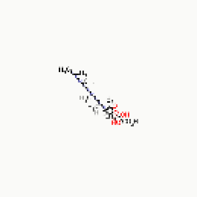 C/C=C/C(C)=C/C=C/C(C)=C/C=C/C=C(C)/C=C/C=C(C)/C=C/C1=C(C)C(=O)C(OC(=O)C(O)C(O)C(=O)O)CC1(C)C